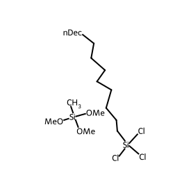 CCCCCCCCCCCCCCCCCC[Si](Cl)(Cl)Cl.CO[Si](C)(OC)OC